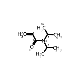 C=CC(=O)N(C(C)C)C(C)C